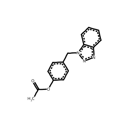 CC(=O)Oc1ccc(Cn2nnc3ccccc32)cc1